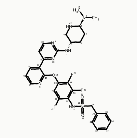 CN(C)[C@H]1CC[C@H](Nc2nccc(-c3cccnc3Oc3cc(F)c(NS(=O)(=O)Cc4ccccc4)c(F)c3F)n2)CN1